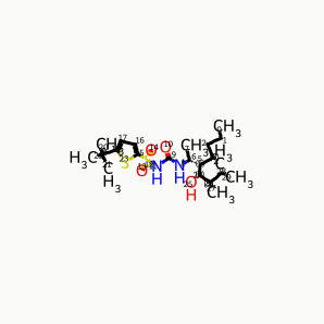 CCC[C@H](C)[C@@H](C(C)NC(=O)NS(=O)(=O)c1ccc(C(C)(C)C)s1)[C@H](O)[C@@H](C)CC